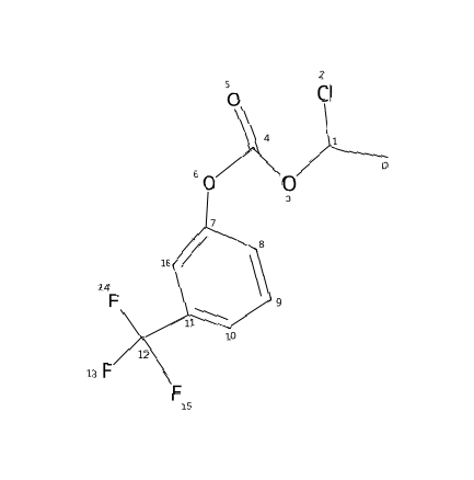 CC(Cl)OC(=O)Oc1cccc(C(F)(F)F)c1